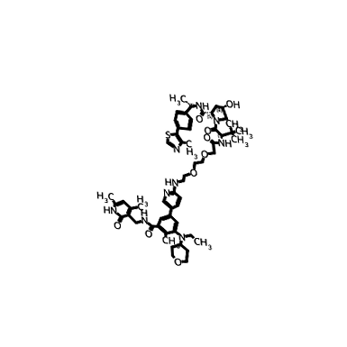 CCN(c1cc(-c2ccc(NCCOCCOCC(=O)N[C@H](C(=O)N3C[C@H](O)C[C@H]3C(=O)N[C@@H](C)c3ccc(-c4scnc4C)cc3)C(C)(C)C)nc2)cc(C(=O)NCc2c(C)cc(C)[nH]c2=O)c1C)C1CCOCC1